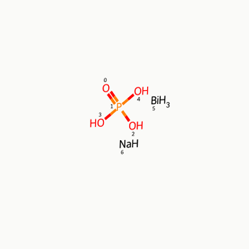 O=P(O)(O)O.[BiH3].[NaH]